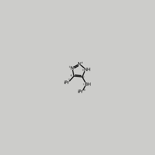 CC(C)Bc1[nH]nnc1C(C)C